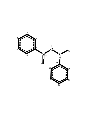 C[SiH](O[SiH](C)c1ccccc1)c1ccccc1